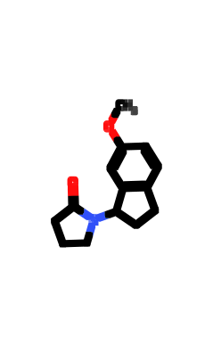 COc1ccc2c(c1)C(N1CCCC1=O)CC2